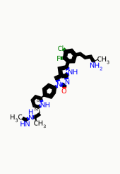 CC(=N)N[C@H](C)C[C@@H]1CCC[C@@H](c2ccc(-n3cc4cc(-c5cc(CCC[C@H](C)N)cc(Cl)c5F)[nH]c4nc3=O)cc2)N1